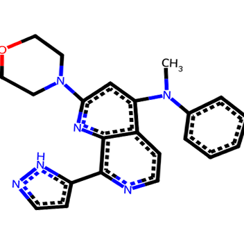 CN(c1ccccc1)c1cc(N2CCOCC2)nc2c(-c3ccn[nH]3)nccc12